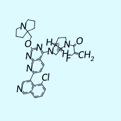 C=C(F)C(=O)N1CC[C@@H]2[C@H]1CN2c1nc(OCC23CCCN2CCC3)nc2nc(-c3cncc4cccc(Cl)c34)ccc12